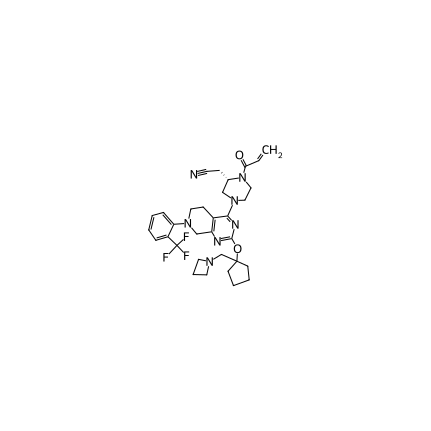 C=CC(=O)N1CCN(c2nc(OC3(CN4CCC4)CCCC3)nc3c2CCN(c2ccccc2C(F)(F)F)C3)C[C@@H]1CC#N